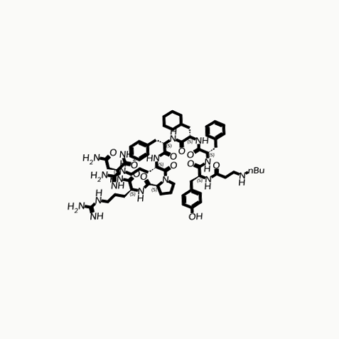 CCCCNCCC(=O)N[C@@H](Cc1ccc(O)cc1)C(=O)N[C@@H](Cc1ccccc1)C(=O)N[C@@H](CC1CCCCC1)C(=O)N[C@@H](Cc1ccccc1)C(=O)N[C@@H](CCCNC(=N)N)C(=O)N1CCC[C@H]1C(=O)N[C@@H](CCCNC(=N)N)C(=O)N[C@@H](CC(N)=O)C(N)=O